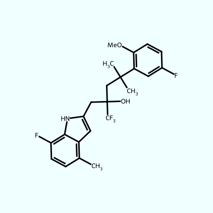 COc1ccc(F)cc1C(C)(C)CC(O)(Cc1cc2c(C)ccc(F)c2[nH]1)C(F)(F)F